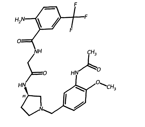 COc1ccc(CN2CC[C@@H](NC(=O)CNC(=O)c3cc(C(F)(F)F)ccc3N)C2)cc1NC(C)=O